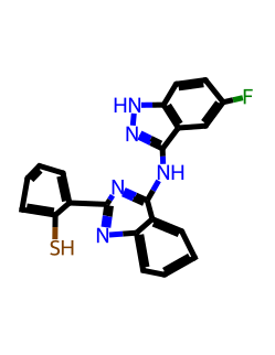 Fc1ccc2[nH]nc(Nc3nc(-c4ccccc4S)nc4ccccc34)c2c1